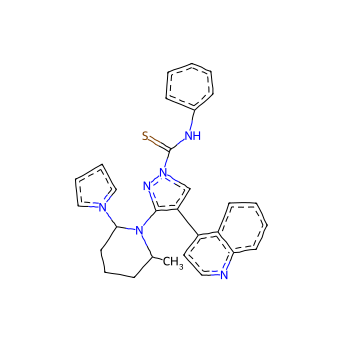 CC1CCCC(n2cccc2)N1c1nn(C(=S)Nc2ccccc2)cc1-c1ccnc2ccccc12